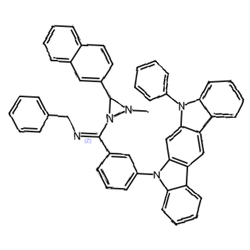 CN1C(c2ccc3ccccc3c2)N1/C(=N\Cc1ccccc1)c1cccc(-n2c3ccccc3c3cc4c5ccccc5n(-c5ccccc5)c4cc32)c1